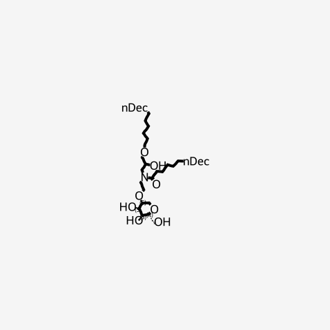 CCCCCCCCCCCCCCCCOCC(O)CN(CCO[C@H]1CO[C@H](CO)[C@@H](O)[C@@H]1O)C(=O)CCCCCCCCCCCCCCC